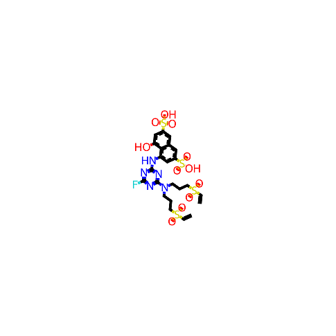 C=CS(=O)(=O)CCCN(CCCS(=O)(=O)C=C)c1nc(F)nc(Nc2cc(S(=O)(=O)O)cc3cc(S(=O)(=O)O)cc(O)c23)n1